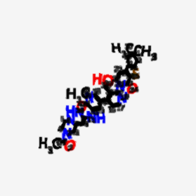 CC(=O)N1CCN/C(=C\C(=N)Nc2cc(-c3ccnc(N4CCc5c(sc6c5CC(C)(C)C6)C4=O)c3CO)cn(C)c2=O)C1